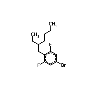 CCCCC(CC)Cc1c(F)cc(Br)cc1F